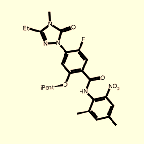 CCC[C@H](C)Oc1cc(-n2nc(CC)n(C)c2=O)c(F)cc1C(=O)Nc1c(C)cc(C)cc1[N+](=O)[O-]